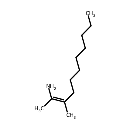 CCCCCCCCC(C)=C(C)N